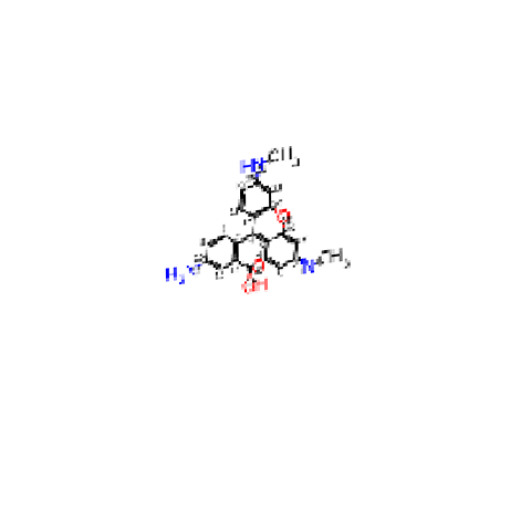 C/N=c1/ccc2c(-c3ccc(N)cc3C(=O)O)c3ccc(NC)cc3oc-2c1